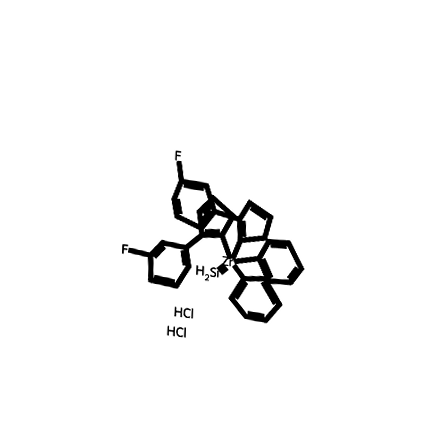 Cl.Cl.Fc1cccc(C2=[C]([Zr](=[SiH2])([C]3=C(c4cccc(F)c4)C=CC3)([c]3ccccc3)[c]3ccccc3)CC=C2)c1